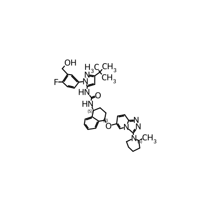 C[C@H]1CCCCN1c1nnc2ccc(O[C@@H]3CC[C@H](NC(=O)Nc4cc(C(C)(C)C)nn4-c4ccc(F)c(CO)c4)c4ccccc43)cn12